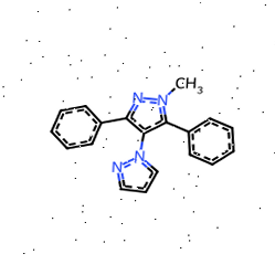 Cn1nc(-c2ccccc2)c(-n2cccn2)c1-c1ccccc1